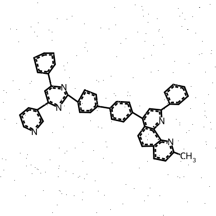 Cc1ccc2ccc3c(-c4ccc(-c5ccc(-c6nc(-c7ccccc7)cc(-c7cccnc7)n6)cc5)cc4)cc(-c4ccccc4)nc3c2n1